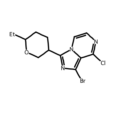 CCC1CCC(c2nc(Br)c3c(Cl)nccn23)CO1